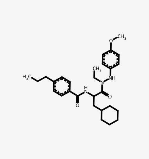 CCCc1ccc(C(=O)NC(CC2CCCCC2)C(=O)N(CC)Nc2ccc(OC)cc2)cc1